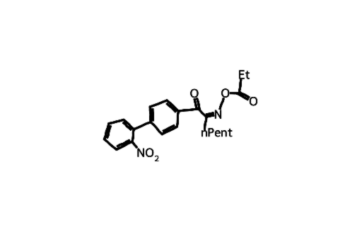 CCCCC/C(=N/OC(=O)CC)C(=O)c1ccc(-c2ccccc2[N+](=O)[O-])cc1